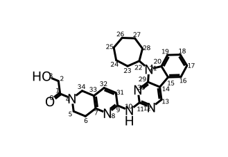 O=C(CO)N1CCc2nc(Nc3ncc4c5ccccc5n(C5CCCCCC5)c4n3)ccc2C1